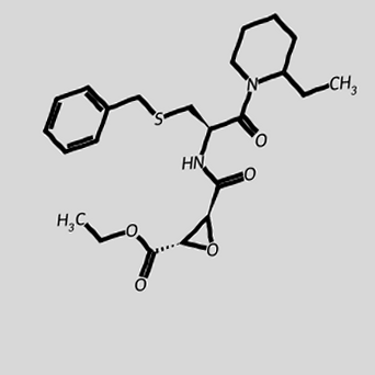 CCOC(=O)[C@H]1O[C@@H]1C(=O)N[C@@H](CSCc1ccccc1)C(=O)N1CCCCC1CC